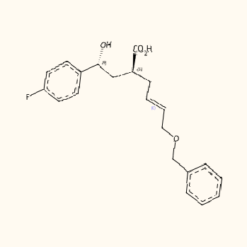 O=C(O)[C@@H](C/C=C/COCc1ccccc1)C[C@@H](O)c1ccc(F)cc1